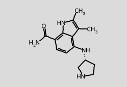 Cc1[nH]c2c(C(N)=O)ccc(N[C@@H]3CCNC3)c2c1C